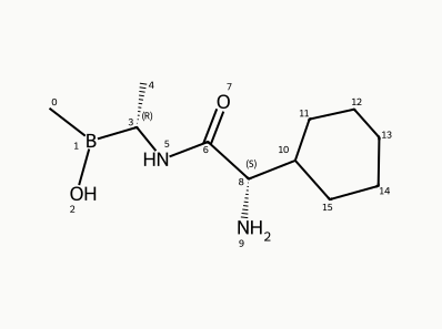 CB(O)[C@H](C)NC(=O)[C@@H](N)C1CCCCC1